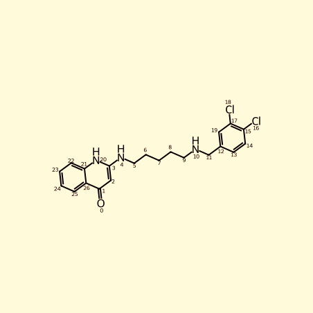 O=c1cc(NCCCCCNCc2ccc(Cl)c(Cl)c2)[nH]c2ccccc12